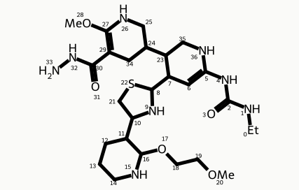 CCNC(=O)NC1=CC(C2NC(C3CCCNC3OCCOC)CS2)C(C2CNC(OC)=C(C(=O)NN)C2)CN1